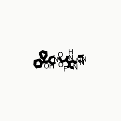 O=C(C(=O)N1CCC(C(O)(c2ccccc2)c2ccccc2)CC1)c1c[nH]c2c(-n3ccnn3)ncc(F)c12